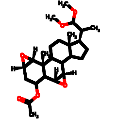 COC(OC)C(C)[C@H]1CCC2C3C(CC[C@@]21C)[C@]1(C)C(C(OC(C)=O)C[C@@H]2O[C@@H]21)[C@H]1O[C@@H]31